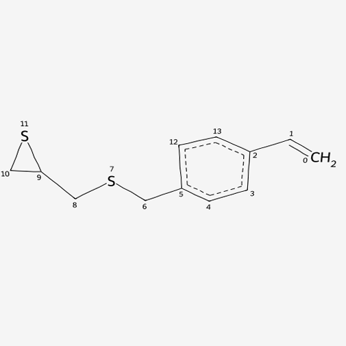 C=Cc1ccc(CSCC2CS2)cc1